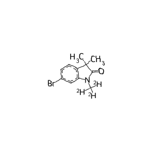 [2H]C([2H])([2H])N1C(=O)C(C)(C)c2ccc(Br)cc21